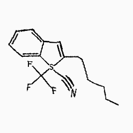 CCCCCC1=Cc2ccccc2S1(C#N)C(F)(F)F